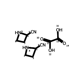 N#CC1CCN1.N#CC1CCN1.O=C(O)C(=O)O